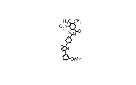 COc1cccc(-c2noc(C3CCN(c4nc(=O)c5cc(C(F)(F)F)c(C)c([N+](=O)[O-])c5s4)CC3)n2)c1